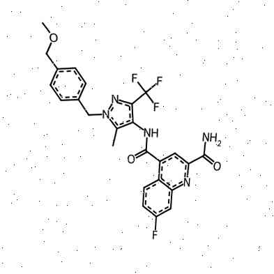 COCc1ccc(Cn2nc(C(F)(F)F)c(NC(=O)c3cc(C(N)=O)nc4cc(F)ccc34)c2C)cc1